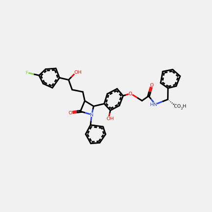 O=C(COc1ccc(C2C(CCC(O)c3ccc(F)cc3)C(=O)N2c2ccccc2)c(O)c1)N[C@@H](C(=O)O)c1ccccc1